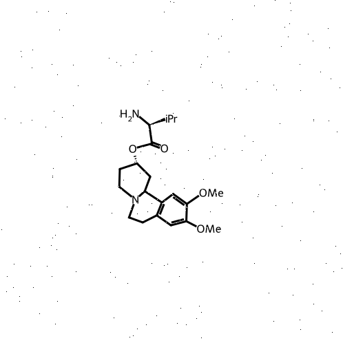 COc1cc2c(cc1OC)C1C[C@@H](OC(=O)[C@@H](N)C(C)C)CCN1CC2